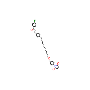 O=C(/C=C/c1ccc(CCCCCCCCCCCCOCc2ccc(N3C(=O)C=CC3=O)cc2)cc1)c1ccc(F)cc1